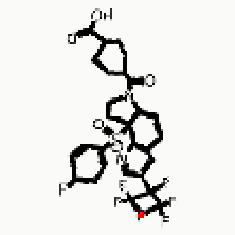 O=C(O)C1CCC(C(=O)N2CCC3(S(=O)(=O)c4ccc(F)cc4)c4ncc(C(F)(C(F)(F)F)C(F)(F)F)cc4CCC23)CC1